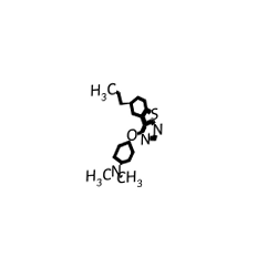 CCC[C@H]1CCc2sc3ncnc(O[C@H]4CC[C@H](N(C)C)CC4)c3c2C1